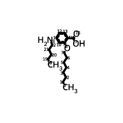 CCCCCCCCOc1ccccc1C(=O)O.CCCCCN